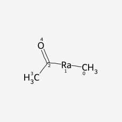 [CH3][Ra][C](C)=O